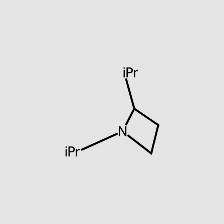 CC(C)C1CCN1C(C)C